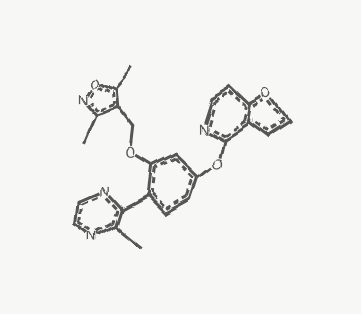 Cc1nccnc1-c1ccc(Oc2nccc3occc23)cc1OCc1c(C)noc1C